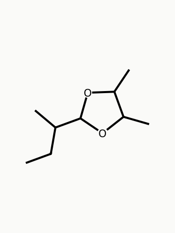 CCC(C)C1OC(C)C(C)O1